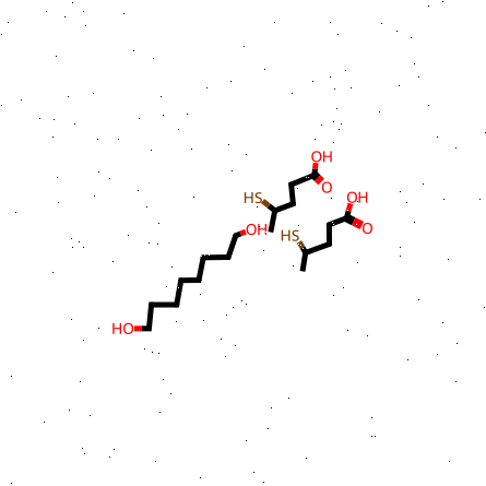 CC(S)CCC(=O)O.CC(S)CCC(=O)O.OCCCCCCCCO